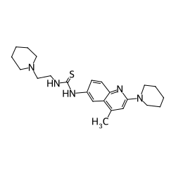 Cc1cc(N2CCCCC2)nc2ccc(NC(=S)NCCN3CCCCC3)cc12